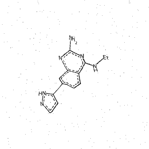 [CH2]CNc1nc(N)nc2cc(-c3ccn[nH]3)ccc12